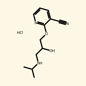 CC(C)NCC(O)COc1ncccc1C#N.Cl